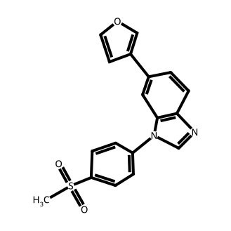 CS(=O)(=O)c1ccc(-n2cnc3ccc(-c4ccoc4)cc32)cc1